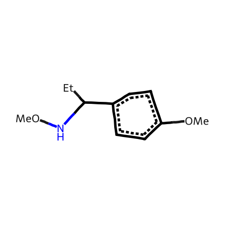 [CH2]CC(NOC)c1ccc(OC)cc1